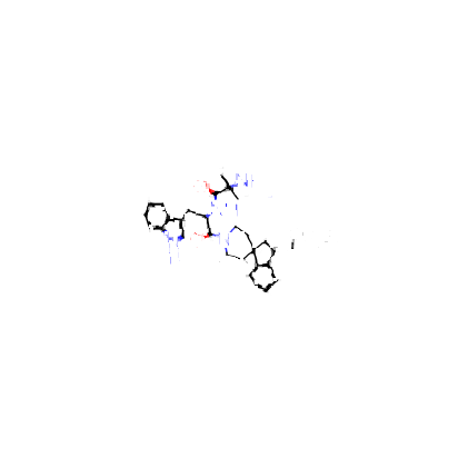 CCOC(=O)C[C@H]1CC2(CCN(C(=O)C(Cc3c[nH]c4ccccc34)NC(=O)C(C)(C)N)CC2)c2ccccc21